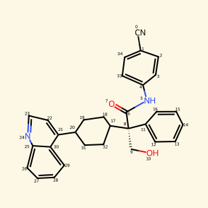 N#Cc1ccc(NC(=O)[C@@](CO)(c2ccccc2)C2CCC(c3ccnc4ccccc34)CC2)cc1